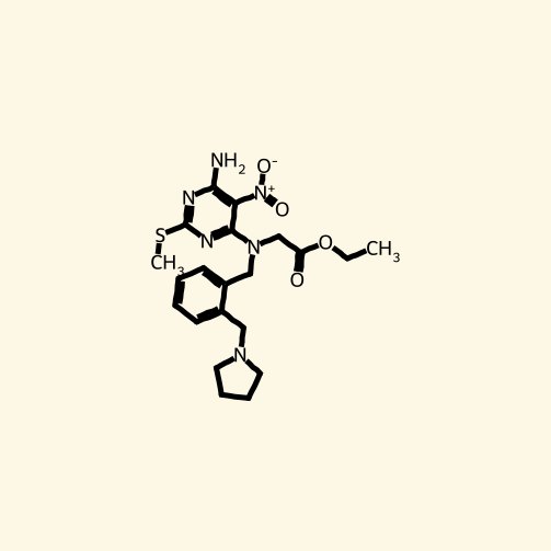 CCOC(=O)CN(Cc1ccccc1CN1CCCC1)c1nc(SC)nc(N)c1[N+](=O)[O-]